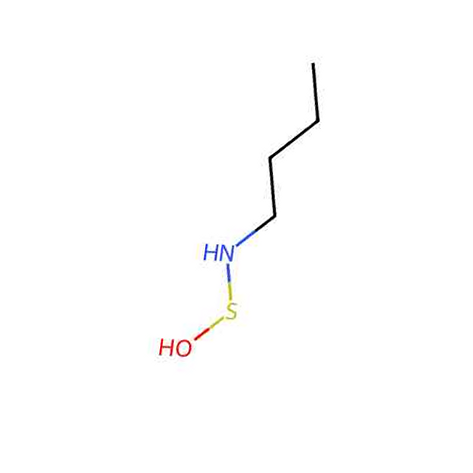 CCCCNSO